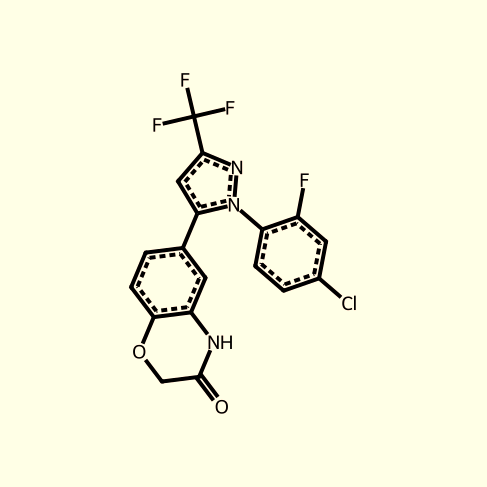 O=C1COc2ccc(-c3cc(C(F)(F)F)nn3-c3ccc(Cl)cc3F)cc2N1